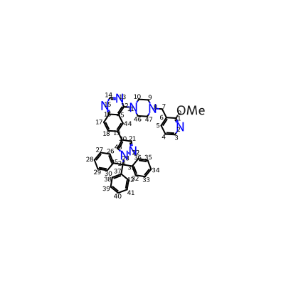 COc1ncccc1CN1CCN(c2ncnc3ccc(-c4cnn(C(c5ccccc5)(c5ccccc5)c5ccccc5)c4)cc23)CC1